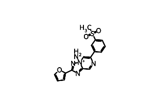 CS(=O)(=O)c1cccc(C2=C[N+]3(N)N=C(c4ccco4)N=C3C=N2)c1